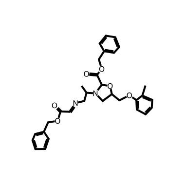 Cc1ccccc1OCC1CN(C(C)C/N=C/C(=O)OCc2ccccc2)C(C(=O)OCc2ccccc2)O1